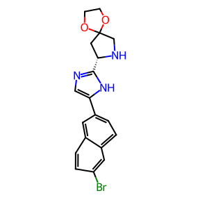 Brc1ccc2cc(-c3cnc([C@@H]4CC5(CN4)OCCO5)[nH]3)ccc2c1